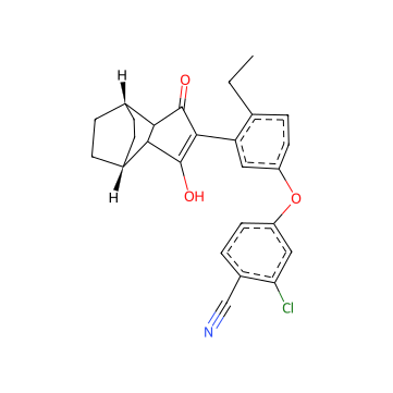 CCc1ccc(Oc2ccc(C#N)c(Cl)c2)cc1C1=C(O)C2C(C1=O)[C@H]1CC[C@@H]2CC1